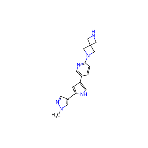 Cn1cc(-c2cc(-c3ccc(N4CC5(CNC5)C4)nc3)c[nH]2)cn1